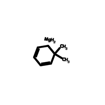 CC1(C)C=CC=CC1.[MgH2]